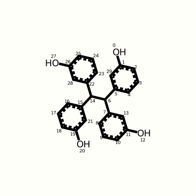 Oc1cccc(C(c2cccc(O)c2)C(c2cccc(O)c2)c2cccc(O)c2)c1